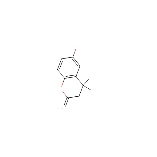 C=C1CC(C)(C)c2cc(Br)ccc2O1